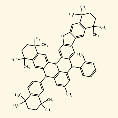 Cc1cc2c3c(c1)N(c1ccccc1C)c1cc4c(cc1B3c1cc3c(cc1N2c1ccc2c(c1)C(C)(C)CCC2(C)C)C(C)(C)CCC3(C)C)oc1cc2c(cc14)C(C)(C)CCC2(C)C